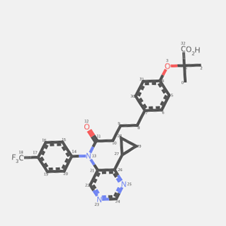 CC(C)(Oc1ccc(CCCC(=O)N(c2ccc(C(F)(F)F)cc2)c2cncnc2C2CC2)cc1)C(=O)O